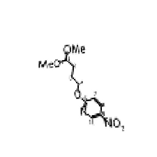 COC(CCCOc1ccc([N+](=O)[O-])cn1)OC